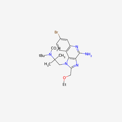 CCOCc1nc2c(N)nc3cc(Br)ccc3c2n1CC(C)(C)N(C(=O)O)C(C)(C)C